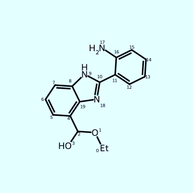 CCOC(O)c1cccc2[nH]c(-c3ccccc3N)nc12